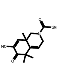 CC(C)(C)C(=O)N1CC=C2C(C)(C=C(C#N)C(=O)C2(C)C)C1